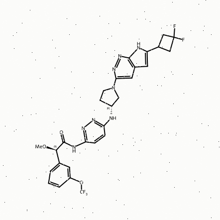 CO[C@@H](C(=O)Nc1ccc(N[C@@H]2CCN(c3cc4cc(C5CC(F)(F)C5)[nH]c4nn3)C2)nn1)c1cccc(OC(F)(F)F)c1